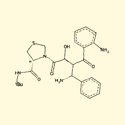 CC(C)(C)NC(=O)[C@@H]1CSCN1C(=O)C(O)C(C(=O)c1ccccc1N)C(N)c1ccccc1